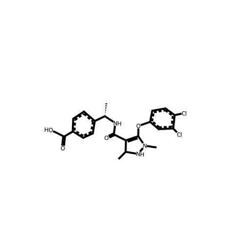 CC1NN(C)C(Oc2ccc(Cl)c(Cl)c2)=C1C(=O)N[C@@H](C)c1ccc(C(=O)O)cc1